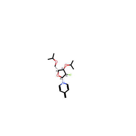 C=C1C=CN([C@@H]2O[C@H](COC(C)C)[C@@H](OC(C)C)[C@H]2F)C=C1